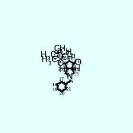 CC(C)(C)[Si](C)(C)O[C@H]1CC(=O)[C@@H]2CN(Cc3ccccc3)C[C@@H]12